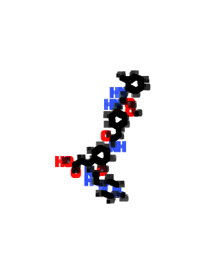 COc1cc(CC(=O)Nc2ccc(C(CC(=O)O)NC(=O)CN3CCN(C)CC3)cc2)ccc1NC(=O)Nc1ccccc1C